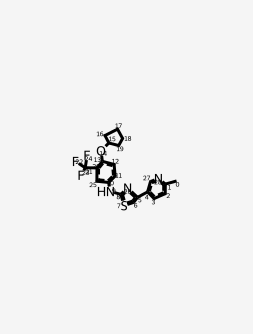 Cc1ccc(-c2csc(Nc3ccc(OC4CCCC4)c(C(F)(F)F)c3)n2)cn1